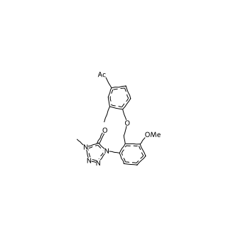 COc1cccc(-n2nnn(C)c2=O)c1COc1ccc(C(C)=O)cc1C